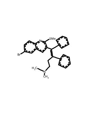 CSc1nc2ccc(Br)cc2cc1/C(=C(\CCN(C)C)c1ccccc1)c1ccccc1